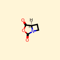 O=C1OC(=O)N2CC[C@H]12